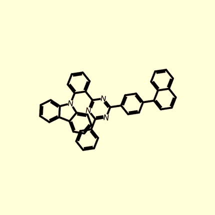 c1ccc(-c2nc(-c3ccc(-c4cccc5ccccc45)cc3)nc(-c3ccccc3-n3c4ccccc4c4ccccc43)n2)cc1